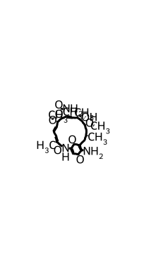 CO[C@@H]1/C=C/C=C(\C)C(=O)NC2=CC(=O)C(N)=C(C[C@@H](C)C[C@@H](OC)[C@@H](O)[C@@H](C)/C=C(\C)[C@@H]1OC(N)=O)C2=O